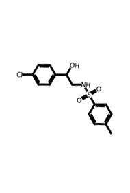 Cc1ccc(S(=O)(=O)NCC(O)c2ccc(Cl)cc2)cc1